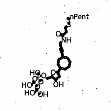 CCCCCSSCCC(=O)NCC#CC1CCCCC(C2CC(O)C(COP(=O)(O)OP(O)OP(O)O)O2)CC1